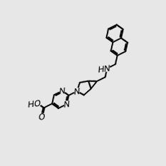 O=C(O)c1cnc(N2CC3C(CNCc4ccc5ccccc5c4)C3C2)nc1